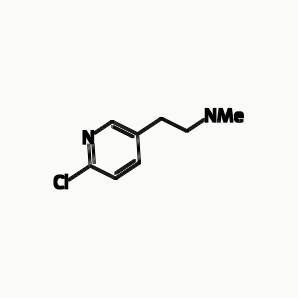 CNCCc1ccc(Cl)nc1